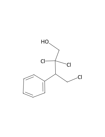 OCC(Cl)(Cl)C(CCl)c1ccccc1